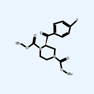 CC(C)(C)OC(=O)N1CCN(C(=O)OC(C)(C)C)[C@@H](C(=O)c2ccc(F)cc2)C1